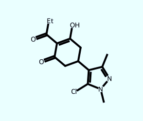 CCC(=O)C1=C(O)CC(c2c(C)nn(C)c2Cl)CC1=O